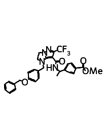 COC(=O)c1ccc(C(C)NC(=O)c2c(C(F)(F)F)nn3c2N(Cc2ccc(OCc4ccccc4)cc2)CC3)cc1